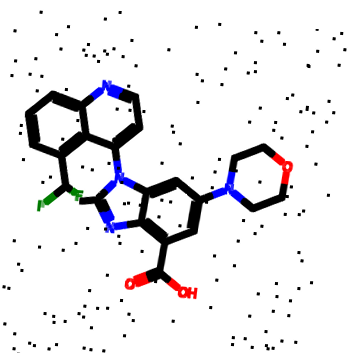 Cc1nc2c(C(=O)O)cc(N3CCOCC3)cc2n1-c1ccnc2cccc(C(F)F)c12